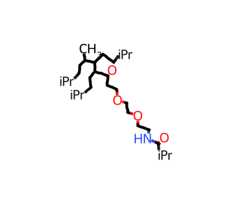 CC(C)CCC(C)C(CCC(C)C)C(CCC(C)C)C(=O)CCOCCOCCNC(=O)C(C)C